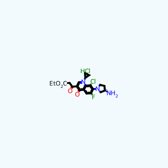 CCOC(=O)CC(=O)c1cn(C2CC2)c2c(Cl)c(N3CC[C@@H](N)C3)c(F)cc2c1=O.Cl